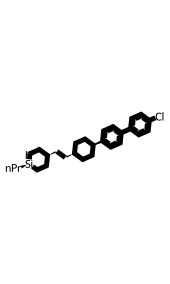 CCC[Si@H]1CC[C@H](CC[C@H]2CC[C@H](c3ccc(-c4ccc(Cl)cc4)cc3)CC2)CC1